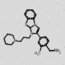 Cc1cc(C2=CN3c4ccccc4SC3N2CCCN2CCCCC2)ccc1CN